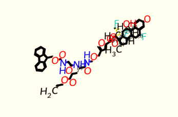 C=CCOC(=O)CC[C@H](NC(=O)CNC(=O)OCC1c2ccccc2-c2ccccc21)C(=O)NCOCc1coc(C(=O)O[C@]2(C(=O)SCF)[C@H](C)C[C@H]3[C@@H]4C[C@H](F)C5=CC(=O)C=C[C@]5(C)[C@@]4(F)[C@@H](O)C[C@@]32C)c1